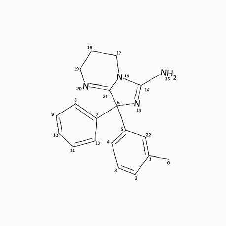 Cc1cccc(C2(c3ccccc3)N=C(N)N3CCCN=C32)c1